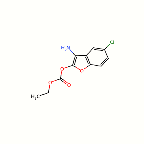 CCOC(=O)Oc1oc2ccc(Cl)cc2c1N